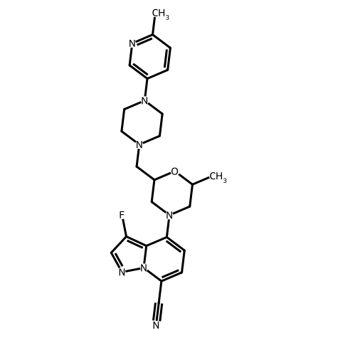 Cc1ccc(N2CCN(CC3CN(c4ccc(C#N)n5ncc(F)c45)CC(C)O3)CC2)cn1